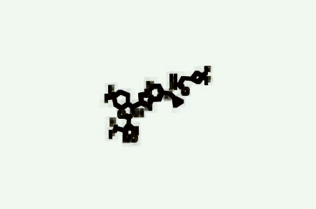 O=C(CC1CC(F)(F)C1)N[C@@H](c1cnn2cc([C@@H](NC(=O)c3nonc3C(F)F)C3CCC(F)(F)CC3)nc2c1)C1CC1